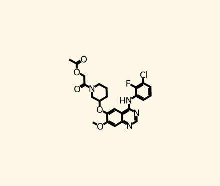 COc1cc2ncnc(Nc3cccc(Cl)c3F)c2cc1OC1CCCN(C(=O)COC(C)=O)C1